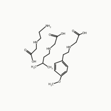 CC(C)CCNCC(=O)O.COc1ccc(CCNCC(=O)O)cc1.NCCNCC(=O)O